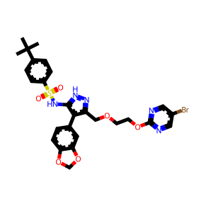 CC(C)(C)c1ccc(S(=O)(=O)Nc2[nH]nc(COCCOc3ncc(Br)cn3)c2-c2ccc3c(c2)OCO3)cc1